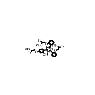 CCCCC(CC)COc1ccc(-c2nc(-c3ccccc3OCC(CC)CCCC)nc(-c3ccccc3OCC(CC)CCCC)n2)c(O)c1